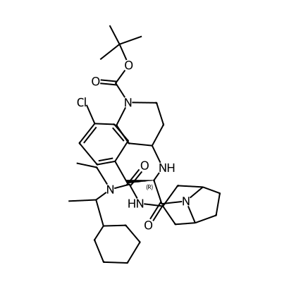 CCN(C(=O)NC1CC2CCC(C1)N2C(=O)[C@@H](Cc1ccc(Cl)cc1)NC1CCN(C(=O)OC(C)(C)C)CC1)C(C)C1CCCCC1